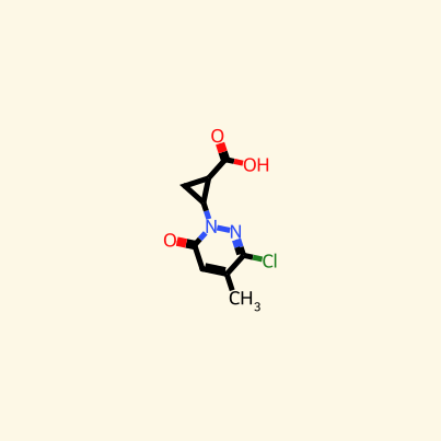 Cc1cc(=O)n(C2CC2C(=O)O)nc1Cl